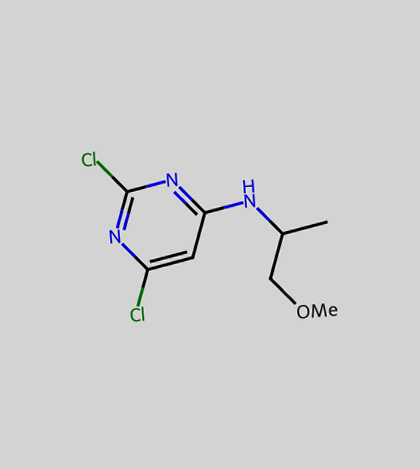 COCC(C)Nc1cc(Cl)nc(Cl)n1